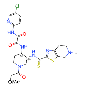 COCC(=O)N1CC[C@H](NC(=O)C(=O)Nc2ccc(Cl)cn2)[C@H](NC(=S)c2nc3c(s2)CN(C)CC3)C1